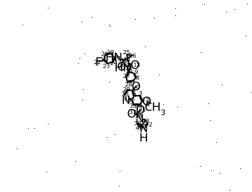 COc1cc2c(Oc3ccc(NC(=O)C4(C(=O)Nc5ccc(F)cc5)CC4)cc3)ccnc2cc1OC(=O)N1C2CNCC1C2